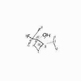 CC(C)[C@@H]1CC[C@@]1(O)C(F)(F)F